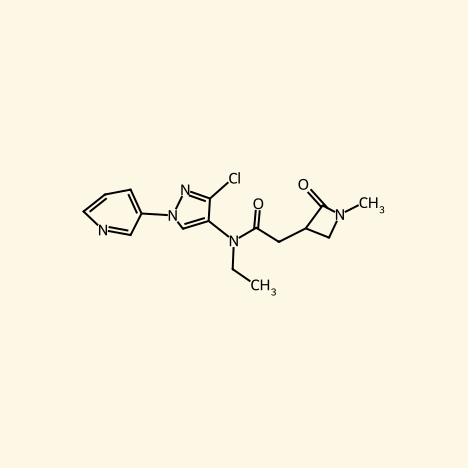 CCN(C(=O)CC1CN(C)C1=O)c1cn(-c2cccnc2)nc1Cl